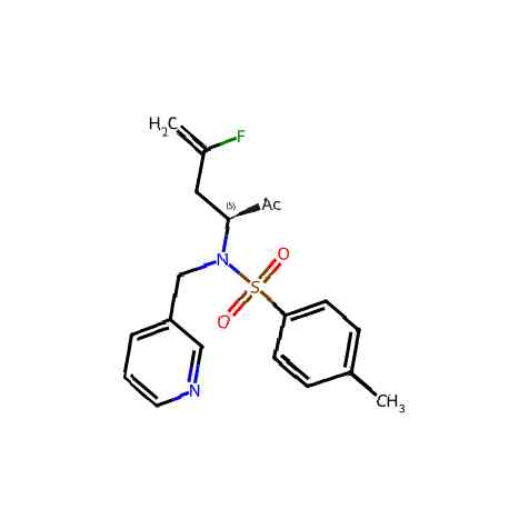 C=C(F)C[C@@H](C(C)=O)N(Cc1cccnc1)S(=O)(=O)c1ccc(C)cc1